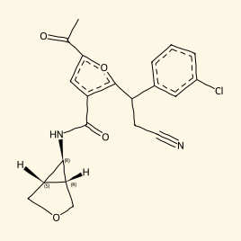 CC(=O)c1cc(C(=O)N[C@H]2[C@@H]3COC[C@@H]32)c(C(CC#N)c2cccc(Cl)c2)o1